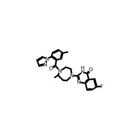 Cc1ccc(-n2cccn2)c(C(=O)N2CCN(c3nc4ccc(F)cc4c(=O)[nH]3)CCC2C)c1